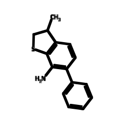 CC1CSc2c1ccc(-c1ccccc1)c2N